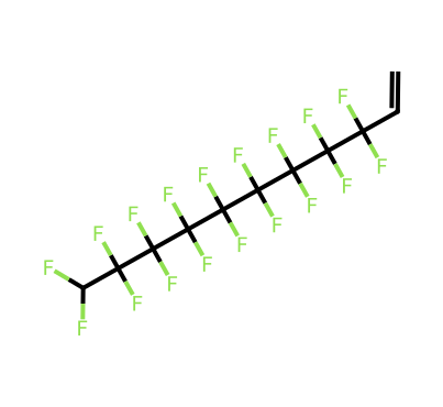 C=CC(F)(F)C(F)(F)C(F)(F)C(F)(F)C(F)(F)C(F)(F)C(F)(F)C(F)(F)C(F)F